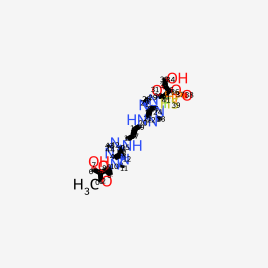 C[C@@H]1OC2CC1(CO)OC2n1cnc2c(NC/C=C/CNc3ncnc4c3ncn4C3OC(CO)[C@@H](O[PH](=O)S)[C@H]3F)ncnc21